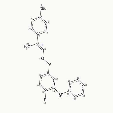 CC(C)(C)c1ccc(/C(=C/OCc2ccc(F)c(Oc3ccccc3)c2)C(F)(F)F)cc1